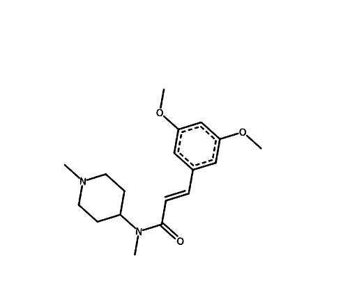 COc1cc(/C=C/C(=O)N(C)C2CCN(C)CC2)cc(OC)c1